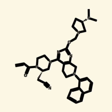 C=CC(=O)N1CCN(c2nc(OCN3CC[C@H](N(C)C)C3)nc3c2CCN(c2cccc4ccccc24)C3)C[C@@H]1CC#N